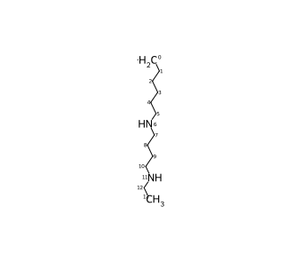 [CH2]CCCCCNCCCCNCC